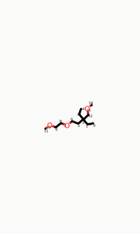 CCC(CC)(CCOCCOC)COC